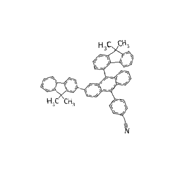 CC1(C)c2ccccc2-c2ccc(-c3ccc4c(-c5ccc(C#N)cc5)c5ccccc5c(-c5cccc6c5-c5ccccc5C6(C)C)c4c3)cc21